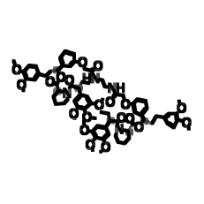 CC[C@@H](C(=O)N1CCCC[C@H]1C(=O)O[C@@H](CCc1ccc(OC)c(OC)c1)c1cccc(OCC(=O)NCCNC(=O)COc2cccc([C@@H](CCc3ccc(OC)c(OC)c3)OC(=O)[C@@H]3CCCCN3C(=O)[C@H](CC)c3cc(OC)c(OC)c(OC)c3)c2)c1)c1cc(OC)c(OC)c(OC)c1